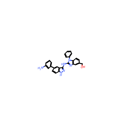 Nc1cccc(-c2ccc3[nH]nc(Nc4nc5cc(CO)ccc5n4-c4ccccc4)c3c2)c1